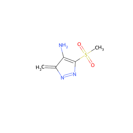 C=C1N=NC(S(C)(=O)=O)=C1N